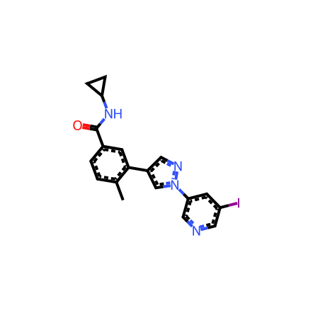 Cc1ccc(C(=O)NC2CC2)cc1-c1cnn(-c2cncc(I)c2)c1